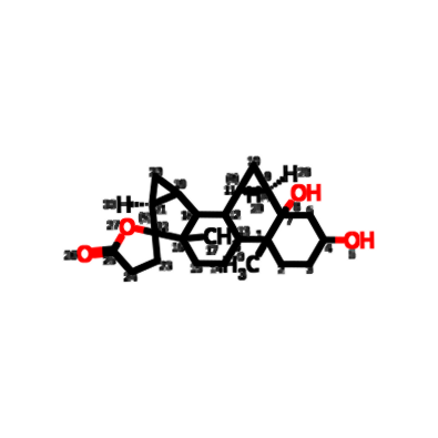 CC12CCC(O)CC1(O)[C@@H]1C[C@@H]1C1C2CCC2(C)C1C1C[C@@H]1C21CCC(=O)O1